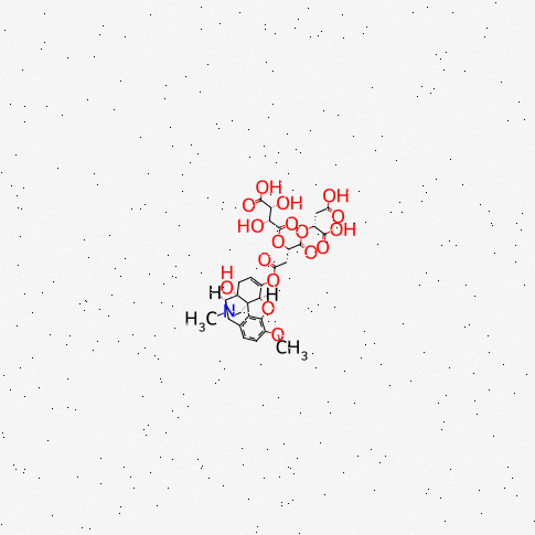 COc1ccc2c3c1O[C@@H]1C(OC(=O)C[C@H](OC(=O)[C@H](O)[C@@H](O)C(=O)O)C(=O)O[C@H](CC(=O)O)C(=O)O)=CC[C@]4(O)[C@H](C2)N(C)CC[C@@]314